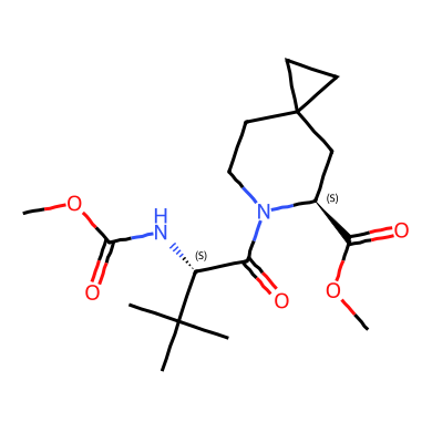 COC(=O)N[C@H](C(=O)N1CCC2(CC2)C[C@H]1C(=O)OC)C(C)(C)C